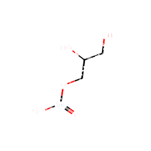 O=[Se](O)OCC(O)CO